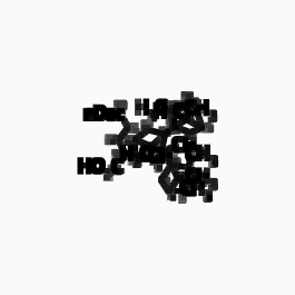 CC1CCC2CC1(C1(C)CCC3CC1(C14CC(CCC1C)C4(C)C)C3(C)C)C2(C)C.CCCCCCCCCCCCCC(=O)O